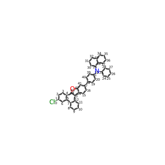 Clc1ccc2c(c1)c1ccccc1c1c3ccc(-c4ccc(N(c5ccccc5)c5cccc6ccccc56)cc4)cc3oc21